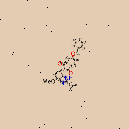 COc1ccc(C2C(=O)c3ccc(OCc4ccccc4)cc3C2=O)c2[nH]c(C3CC3)nc12